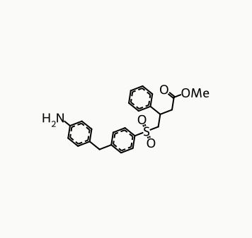 COC(=O)CC(CS(=O)(=O)c1ccc(Cc2ccc(N)cc2)cc1)c1ccccc1